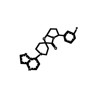 O=C1N2C(CCC2c2cccc(F)c2)OC12CCN(c1ccnc3ccnn13)CC2